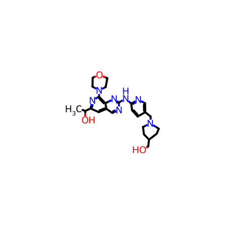 CC(O)c1cc2cnc(Nc3ccc(CN4CCC(CO)CC4)cn3)nc2c(N2CCOCC2)n1